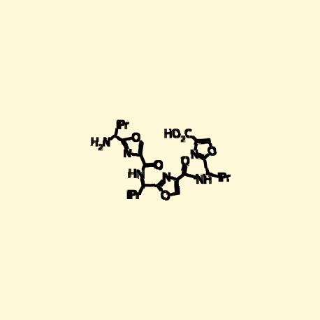 CC(C)C(N)c1nc(C(=O)NC(c2nc(C(=O)NC(c3nc(C(=O)O)co3)C(C)C)co2)C(C)C)co1